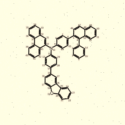 c1ccc(-c2c(-c3ccc(N(c4ccc(-c5ccc6oc7ccccc7c6c5)cc4)c4cc5ccccc5c5ccccc45)cc3)ccc3ccccc23)cc1